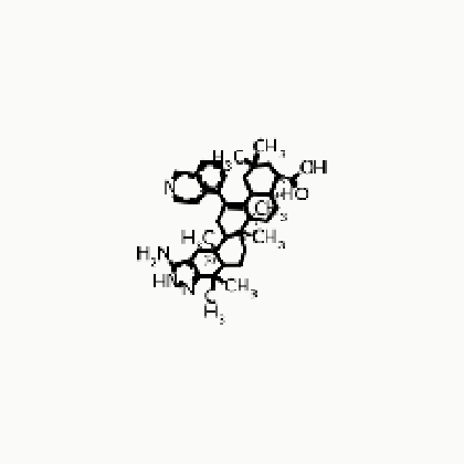 CC1(C)CC2C3=C(c4cccc5cnccc45)CC4[C@@]5(C)Cc6c(n[nH]c6N)C(C)(C)C5CC[C@@]4(C)[C@]3(C)CC[C@@H]2[C@H](C(=O)O)C1